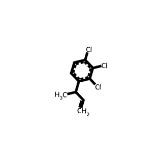 C=C[C](C)c1ccc(Cl)c(Cl)c1Cl